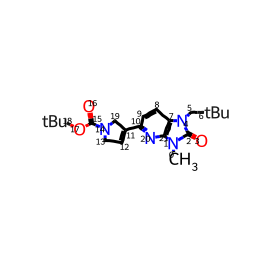 Cn1c(=O)n(CC(C)(C)C)c2ccc(C3=CCN(C(=O)OC(C)(C)C)C3)nc21